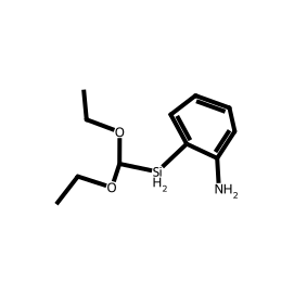 CCOC(OCC)[SiH2]c1ccccc1N